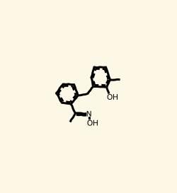 CC(=NO)c1ccccc1Cc1cccc(C)c1O